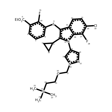 CCOC(=O)c1cccc(Sc2c(C3CC3)n(-c3cnn(COCC[Si](C)(C)C)c3)c3c(F)c(Cl)ccc23)c1F